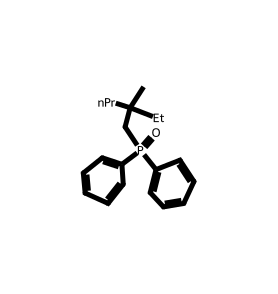 CCCC(C)(CC)CP(=O)(c1ccccc1)c1ccccc1